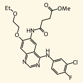 CCOCCOc1cc2ncnc(Nc3ccc(F)c(Cl)c3)c2cc1NC(=O)CCC(=O)OC